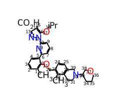 Cc1cccc(-c2cccc(-n3ncc(C(=O)O)c3OC(C)C)n2)c1OCc1ccc2c(c1C)CCN([C@@H]1CCCOC1)C2